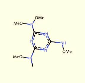 CONc1nc(N(C)OC)nc(N(OC)OC)n1